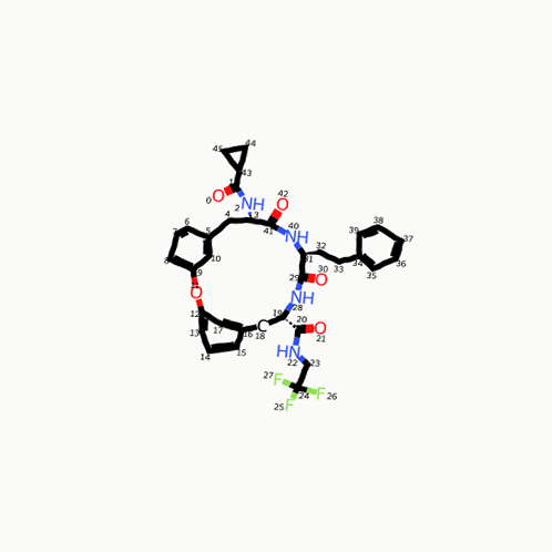 O=C(N[C@H]1Cc2cccc(c2)Oc2cccc(c2)C[C@@H](C(=O)NCC(F)(F)F)NC(=O)[C@H](CCc2ccccc2)NC1=O)C1CC1